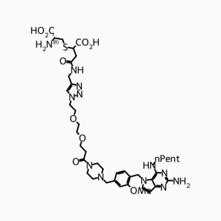 CCCCCNc1nc(N)nc2ccn(Cc3ccc(CN4CCN(C(=O)CCOCCOCCn5cc(CNC(=O)CC(SC[C@H](N)C(=O)O)C(=O)O)nn5)CC4)cc3OC)c12